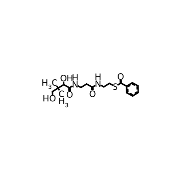 CC(C)(CO)C(O)C(=O)NCCC(=O)NCCSC(=O)c1ccccc1